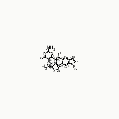 Cc1nc(N)nc(N[C@@H](C)c2nc3ccn(C)c3cc2N2CC[C@@H](N)C2)c1C#N